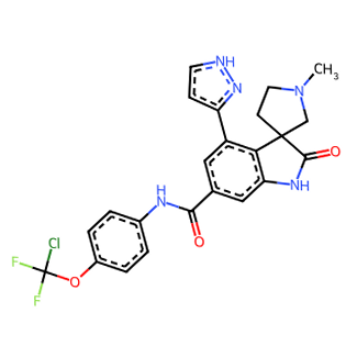 CN1CCC2(C1)C(=O)Nc1cc(C(=O)Nc3ccc(OC(F)(F)Cl)cc3)cc(-c3cc[nH]n3)c12